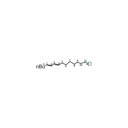 CCCCC=CC=CCCCCCCCCl